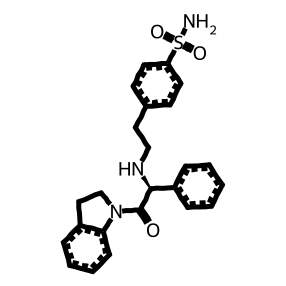 NS(=O)(=O)c1ccc(CCN[C@H](C(=O)N2CCc3ccccc32)c2ccccc2)cc1